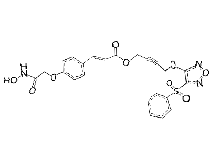 O=C(COc1ccc(C=CC(=O)OCC#CCOc2nonc2S(=O)(=O)c2ccccc2)cc1)NO